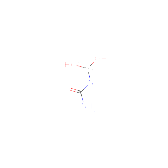 NC(=O)NB(O)O